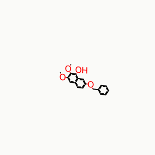 COc1cc2ccc(OCc3ccccc3)cc2c(O)c1OC